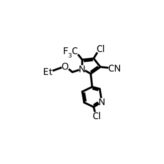 CCOCn1c(-c2ccc(Cl)nc2)c(C#N)c(Cl)c1C(F)(F)F